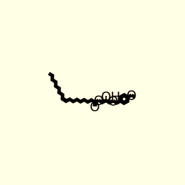 CCCCCCCC/C=C\CCCCCCCC(=O)OC[C@@H](O)COCc1ccc(OC)cc1